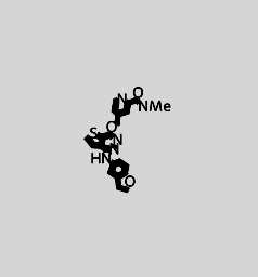 CNC(=O)c1cc(COc2nnc(Nc3ccc4c(c3)CCO4)c3ccsc23)ccn1